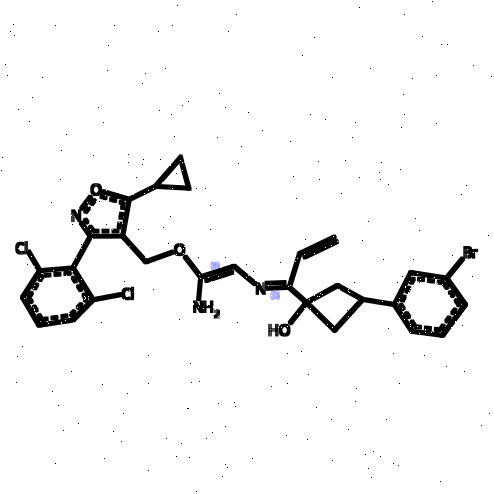 C=C/C(=N\C=C(/N)OCc1c(-c2c(Cl)cccc2Cl)noc1C1CC1)C1(O)CC(c2cccc(Br)c2)C1